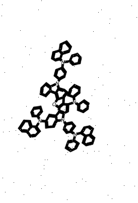 c1ccc(N(c2ccc(-n3c4ccccc4c4c5oc6c(c(N(c7ccccc7)c7ccccc7)cc7c6c6cc(N(c8ccccc8)c8cccc9ccccc89)ccc6n7-c6ccc(N(c7ccccc7)c7cccc8ccccc78)cc6)c5ccc43)cc2)c2cccc3ccccc23)cc1